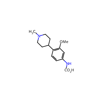 COc1cc(NC(=O)O)ccc1C1CCN(C)CC1